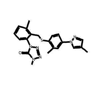 Cc1cnn(-c2ccc(SCc3c(C)cccc3-n3nnn(C)c3=O)c(C)c2)c1